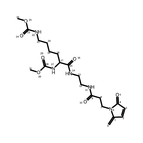 C=C1C=CC(=O)N1CCC(=O)NCCNC(=O)C(CCCCNC(=O)OC)NC(=O)OC